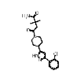 CC(C)([CH]C(=O)N1CCC(c2cc(-c3ccccc3Cl)n[nH]2)CC1)C(N)=O